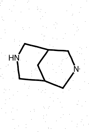 C1[N]CC2CNCC1C2